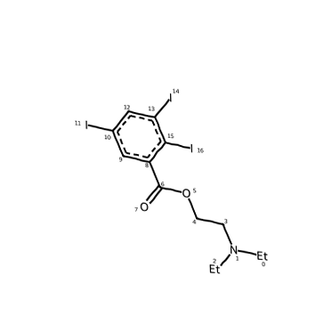 CCN(CC)CCOC(=O)c1cc(I)cc(I)c1I